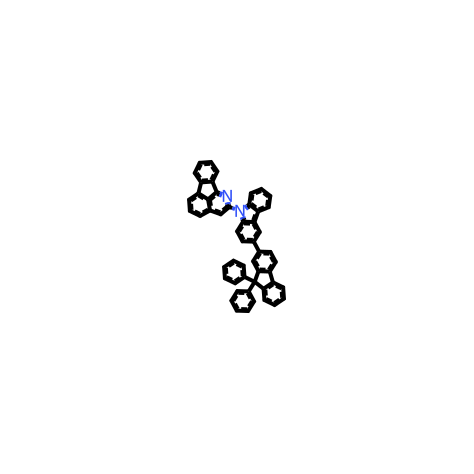 c1ccc(C2(c3ccccc3)c3ccccc3-c3ccc(-c4ccc5c(c4)c4ccccc4n5-c4cc5cccc6c5c(n4)-c4ccccc4-6)cc32)cc1